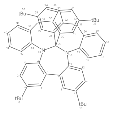 CC(C)(C)c1ccc2c(c1)-c1cc(C(C)(C)C)ccc1N1c3ccccc3Oc3ccc(C(C)(C)C)cc3C13c1cc(C(C)(C)C)ccc1Oc1ccccc1N23